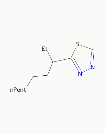 CCCCCCCC(CC)c1nncs1